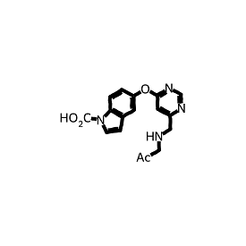 CC(=O)CNCc1cc(Oc2ccc3c(ccn3C(=O)O)c2)ncn1